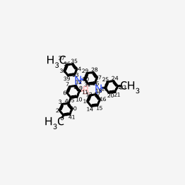 Cc1ccc(-c2ccc3c(c2)B2c4ccccc4N(c4ccc(C)cc4)c4cccc(c42)N3c2ccc(C)cc2)cc1